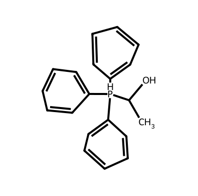 CC(O)[PH](c1ccccc1)(c1ccccc1)c1ccccc1